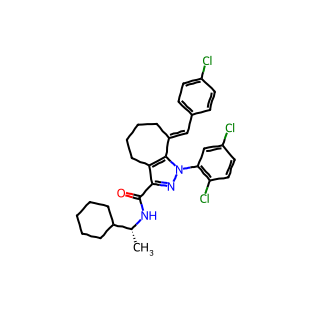 C[C@@H](NC(=O)c1nn(-c2cc(Cl)ccc2Cl)c2c1CCCC/C2=C\c1ccc(Cl)cc1)C1CCCCC1